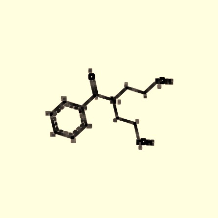 CCCCCCCCCCCCN(CCCCCCCCCCCC)C(=O)c1ccccc1